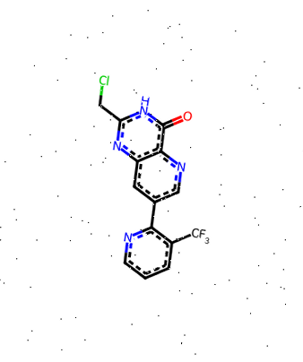 O=c1[nH]c(CCl)nc2cc(-c3ncccc3C(F)(F)F)cnc12